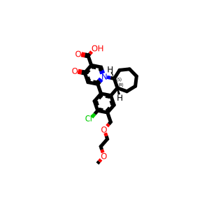 COCCOCc1cc2c(cc1Cl)-c1cc(=O)c(C(=O)O)cn1[C@H]1CCCCC[C@H]21